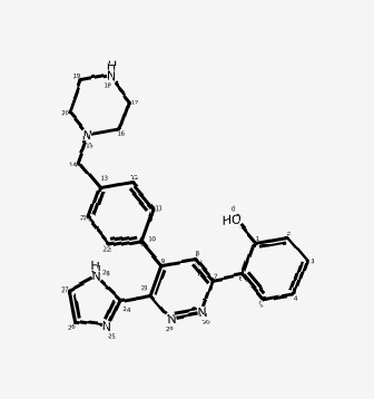 Oc1ccccc1-c1cc(-c2ccc(CN3CCNCC3)cc2)c(-c2ncc[nH]2)nn1